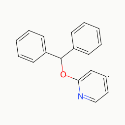 [c]1ccnc(OC(c2ccccc2)c2ccccc2)c1